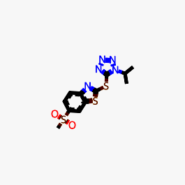 CC(C)n1nnnc1Sc1nc2ccc(S(C)(=O)=O)cc2s1